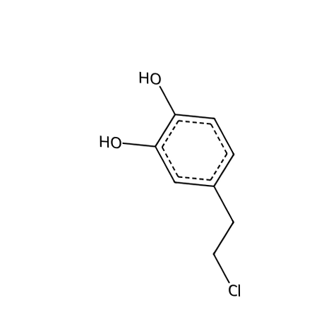 Oc1ccc(CCCl)cc1O